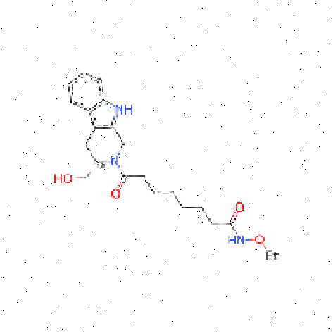 CCONC(=O)CCCCCCC(=O)N1Cc2[nH]c3ccccc3c2C[C@H]1CO